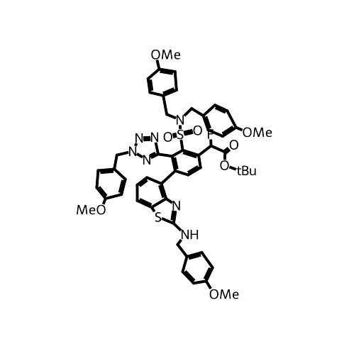 COc1ccc(CNc2nc3c(-c4ccc(C(F)C(=O)OC(C)(C)C)c(S(=O)(=O)N(Cc5ccc(OC)cc5)Cc5ccc(OC)cc5)c4-c4nnn(Cc5ccc(OC)cc5)n4)cccc3s2)cc1